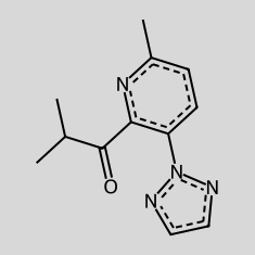 Cc1ccc(-n2nccn2)c(C(=O)C(C)C)n1